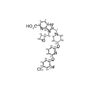 O=C(O)c1ccc2nc(CN3CCC(Oc4cccc(Oc5ccc(Cl)cc5F)n4)CC3)n(CC3CCO3)c2n1